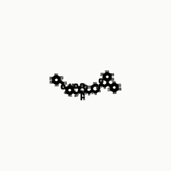 O=C(CC1CCN(C(=O)CC(c2ccccc2)c2ccccc2)CC1)N[C@@H](Cc1ccc(OCc2ccccc2)cc1)C(=O)O